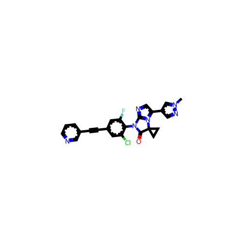 Cn1cc(-c2cnc3n2C2(CC2)C(=O)N3c2c(F)cc(C#Cc3cccnc3)cc2Cl)cn1